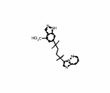 CC(C)(CCC(C)(C)c1cnc2cccnn12)c1cc(C(=O)O)c2cn[nH]c2c1